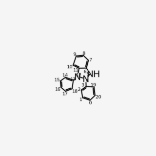 c1ccc(N2Nc3ccccc3N2c2ccccc2)cc1